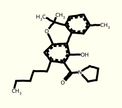 CCCCCc1cc2c(c(O)c1C(=O)N1CCCC1)-c1cc(C)ccc1C(C)(C)O2